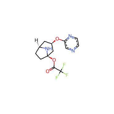 O=C(O[C@]12CC[C@@H](C[C@@H](Oc3cnccn3)C1)N2)C(F)(F)F